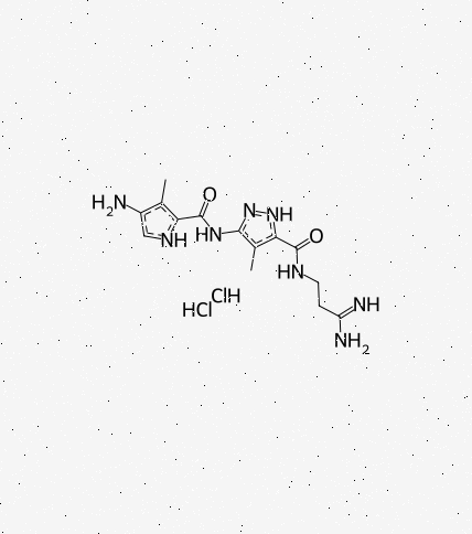 Cc1c(N)c[nH]c1C(=O)Nc1n[nH]c(C(=O)NCCC(=N)N)c1C.Cl.Cl